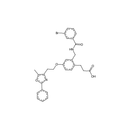 Cc1oc(-c2ccccc2)nc1CCOc1ccc(CCC(=O)O)c(CNC(=O)c2cccc(Br)c2)c1